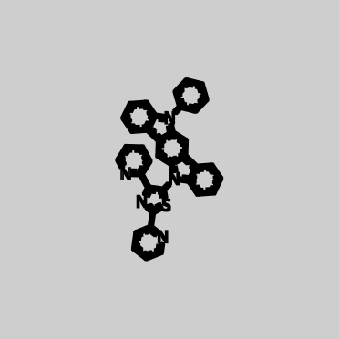 c1ccc(-n2c3ccccc3c3cc4c(cc32)c2ccccc2n4-c2sc(-c3ccccn3)nc2-c2ccccn2)cc1